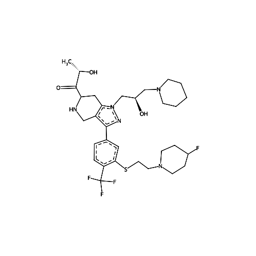 C[C@H](O)C(=O)C1Cc2c(c(-c3ccc(C(F)(F)F)c(SCCN4CCC(F)CC4)c3)nn2C[C@H](O)CN2CCCCC2)CN1